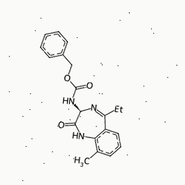 CCC1=N[C@H](NC(=O)OCc2ccccc2)C(=O)Nc2c(C)cccc21